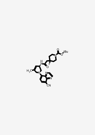 CC1=C[C@@H](NC(=O)CC2(F)CCN(C(=O)OC(C)(C)C)CC2)CN(c2ccc(C#N)c3nccnc23)C1